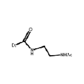 [CH2]CC(=O)NCCNC(C)=O